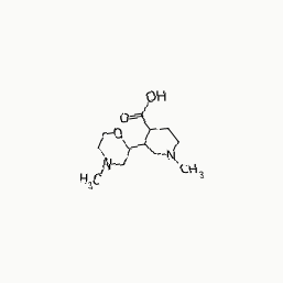 CN1CCOC(C2CN(C)CCC2C(=O)O)C1